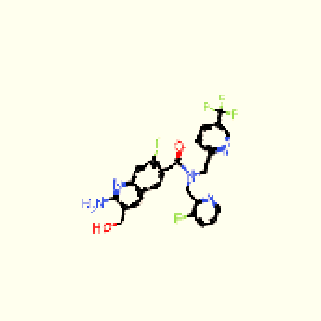 Nc1nc2cc(F)c(C(=O)N(Cc3ccc(C(F)(F)F)cn3)Cc3ncccc3F)cc2cc1CO